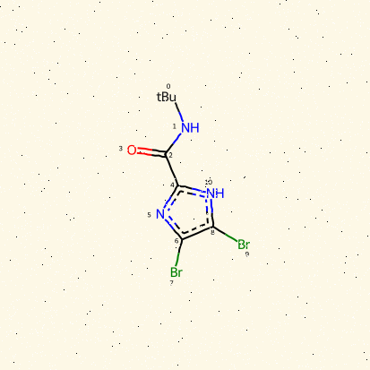 CC(C)(C)NC(=O)c1nc(Br)c(Br)[nH]1